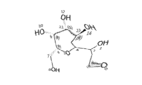 O=[C]C(O)C1O[C@H](CO)[C@H](O)[C@H](O)[C@H]1O